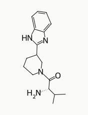 CC(C)[C@H](N)C(=O)N1CCCC(c2nc3ccccc3[nH]2)C1